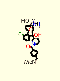 CNCc1ccc(C(=O)N2CCC[C@@H]([C@@](O)(CCCNC(=O)O)c3cccc(Cl)c3-c3ccc(C)o3)C2)cc1